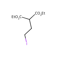 CCOC(=O)C(CCI)C(=O)OCC